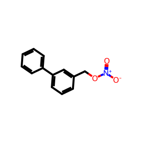 O=[N+]([O-])OCc1cccc(-c2ccccc2)c1